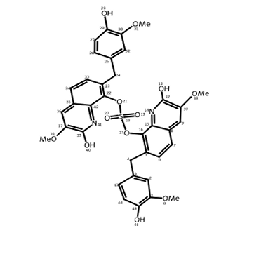 COc1cc(Cc2ccc3cc(OC)c(O)nc3c2OS(=O)(=O)Oc2c(Cc3ccc(O)c(OC)c3)ccc3cc(OC)c(O)nc23)ccc1O